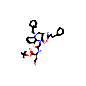 CC(C)(C)OC(=O)[C@H](CC=O)NC(=O)CN1C(=O)[C@@H](NC(=O)CCc2ccccc2)CN(Cc2ccccc2)c2ccccc21